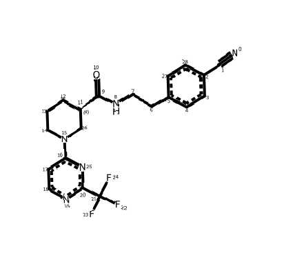 N#Cc1ccc(CCNC(=O)[C@@H]2CCCN(c3ccnc(C(F)(F)F)n3)C2)cc1